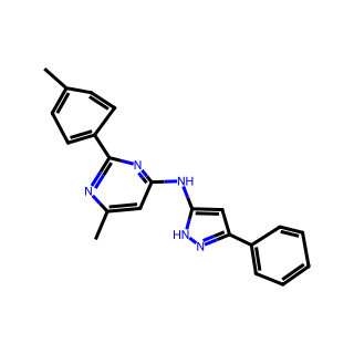 Cc1ccc(-c2nc(C)cc(Nc3cc(-c4ccccc4)n[nH]3)n2)cc1